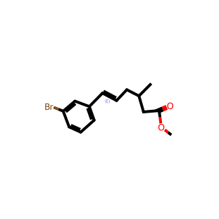 COC(=O)CC(C)C/C=C/c1cccc(Br)c1